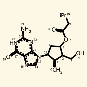 C=C1C(CO)C(OC(=O)CC(C)C)CC1n1cnc2c(=O)[nH]c(N)nc21